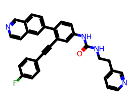 O=C(NCCc1cccnc1)Nc1ccc(-c2ccc3cnccc3c2)c(C#Cc2ccc(F)cc2)c1